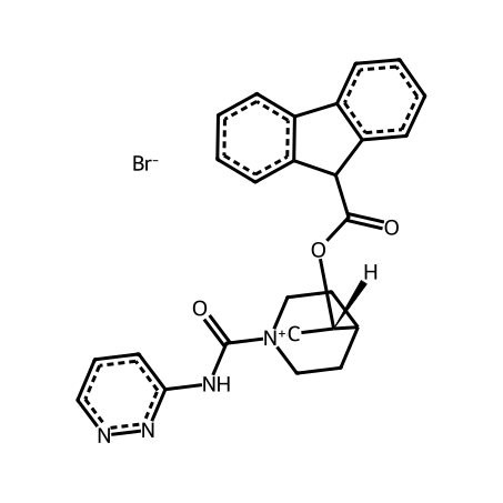 O=C(O[C@H]1C[N+]2(C(=O)Nc3cccnn3)CCC1CC2)C1c2ccccc2-c2ccccc21.[Br-]